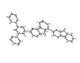 c1ccc(-c2nc(-c3ccccc3)nc(-c3ccc4oc5c(-c6ccc7c(c6)oc6ccccc67)cccc5c4c3)n2)cc1